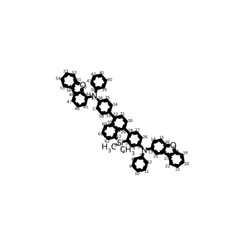 C[Si]1(C)c2cc(N(c3ccccc3)c3ccc4oc5ccccc5c4c3)ccc2-c2ccc(-c3ccc(N(c4ccccc4)c4cccc5c4oc4ccccc45)cc3)c3cccc1c23